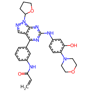 C=CC(=O)Nc1cccc(-c2nc(Nc3ccc(N4CCOCC4)c(O)c3)nc3c2cnn3C2CCCO2)c1